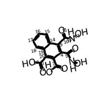 O=C(O)c1c(C(=O)NO)c(C(=O)NO)c2ccccc2c1C(=O)O